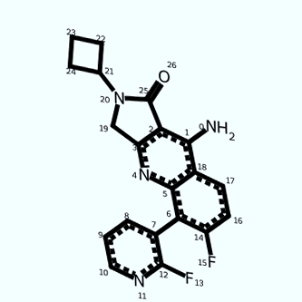 Nc1c2c(nc3c(-c4cccnc4F)c(F)ccc13)CN(C1CCC1)C2=O